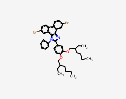 CCCCC(CC)COc1ccc(-c2nc3c4cc(Br)ccc4c4ccc(Br)cc4c3n2-c2ccccc2)cc1OCC(CC)CCCC